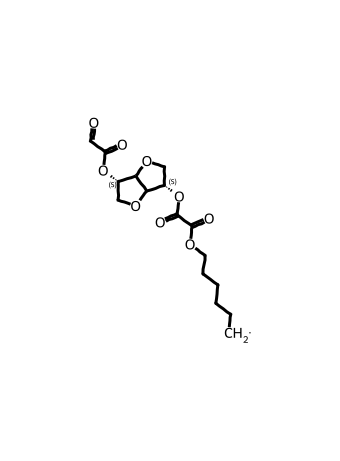 [CH2]CCCCCOC(=O)C(=O)O[C@H]1COC2C1OC[C@@H]2OC(=O)C=O